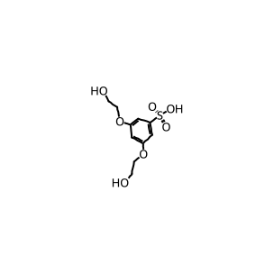 O=S(=O)(O)c1cc(OCCO)cc(OCCO)c1